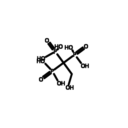 O=P(O)(O)C(CO)(P(=O)(O)O)P(=O)(O)O